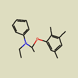 CCN(c1ccccc1)C(C)Oc1cc(C)cc(C)c1C